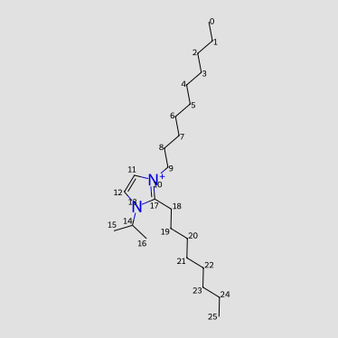 CCCCCCCCCC[n+]1ccn(C(C)C)c1CCCCCCCC